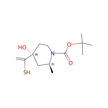 C=C(S)[C@@]1(O)CCN(C(=O)OC(C)(C)C)[C@@H](C)C1